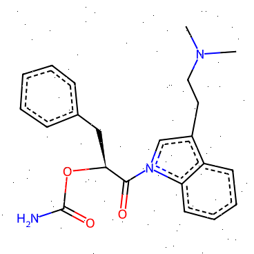 CN(C)CCc1cn(C(=O)[C@H](Cc2ccccc2)OC(N)=O)c2ccccc12